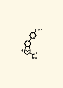 COc1ccc(-c2ccc3c(c2)C2C[C@H]3CCN2C(=O)C(C)(C)C)cc1